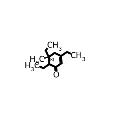 CCC1=CC(=O)C(CC)[C@](C)(CC)C1